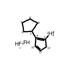 F.F.[Hf][C]1=C(C2CCCC2)C=CC1